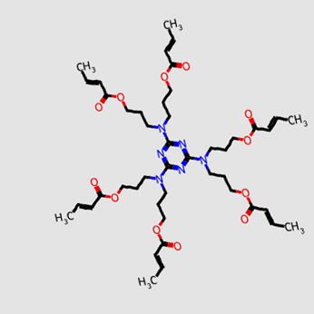 CC=CC(=O)OCCCN(CCCOC(=O)C=CC)c1nc(N(CCCOC(=O)C=CC)CCCOC(=O)C=CC)nc(N(CCCOC(=O)C=CC)CCCOC(=O)C=CC)n1